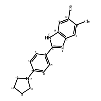 Clc1cc2nc(-c3ccc(N4CCCC4)cc3)[nH]c2cc1Cl